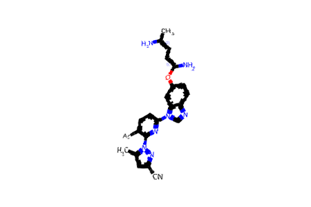 CC(=O)c1ccc(-n2cnc3ccc(O/C(N)=C/C=C(/C)N)cc32)nc1-n1nc(C#N)cc1C